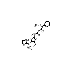 CC(C)CON(C(=O)CC(=O)Nc1nc(CC(=O)O)c(Sc2ncc[nH]2)s1)c1ccccc1